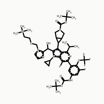 CC(C)c1nc(-c2cc(NC(=O)OC(C)(C)C)cc(F)c2OC(F)(F)F)c(F)c2c1c(C1C3CN(C(=O)OC(C)(C)C)CC31)c(C(O)c1nccn1COCC[Si](C)(C)C)n2C1CC1